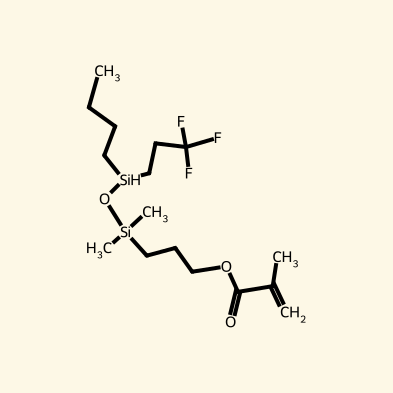 C=C(C)C(=O)OCCC[Si](C)(C)O[SiH](CCCC)CCC(F)(F)F